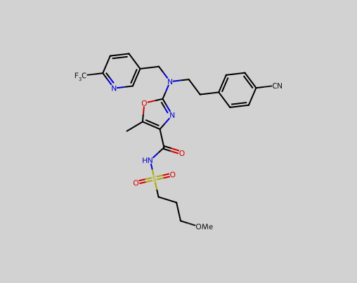 COCCCS(=O)(=O)NC(=O)c1nc(N(CCc2ccc(C#N)cc2)Cc2ccc(C(F)(F)F)nc2)oc1C